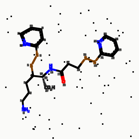 NCCCC(SSc1ccccn1)[C@H](NC(=O)CCSSc1ccccn1)C(=O)O